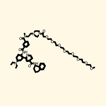 CCN(CC)c1ccc(NC(=O)c2cccc(C(=O)N(C)CCN3CCN(C(=O)COCCOCCOCCOCCOCCOCCOCCOC)CC3)c2)c(-c2cc(C(=O)N[C@H]3CCCc4ccccc43)ccn2)c1